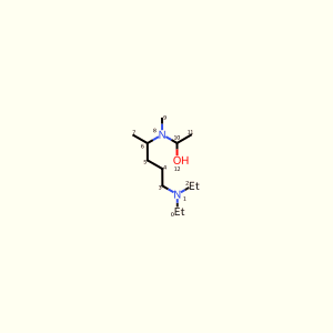 CCN(CC)CCCC(C)N(C)C(C)O